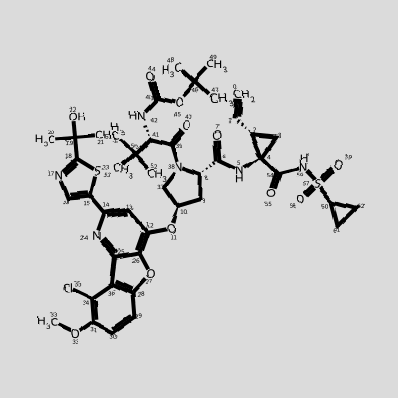 C=C[C@@H]1C[C@]1(NC(=O)[C@@H]1C[C@@H](Oc2cc(-c3cnc(C(C)(C)O)s3)nc3c2oc2ccc(OC)c(Cl)c23)CN1C(=O)[C@@H](NC(=O)OC(C)(C)C)C(C)(C)C)C(=O)NS(=O)(=O)C1CC1